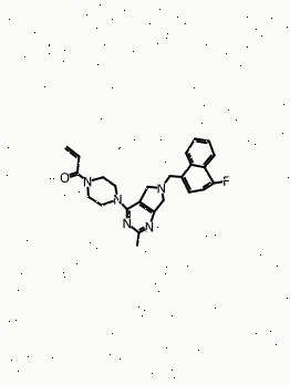 C=CC(=O)N1CCN(c2nc(C)nc3c2CN(Cc2ccc(F)c4ccccc24)C3)CC1